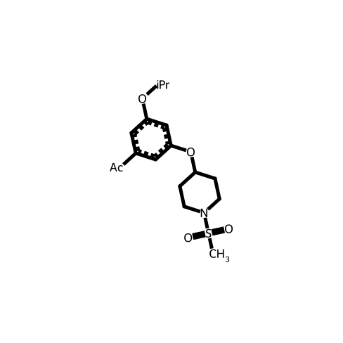 CC(=O)c1cc(OC(C)C)cc(OC2CCN(S(C)(=O)=O)CC2)c1